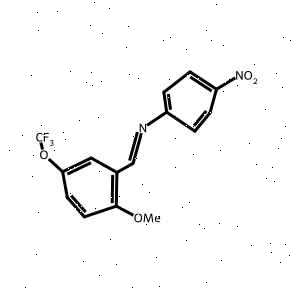 COc1ccc(OC(F)(F)F)cc1C=Nc1ccc([N+](=O)[O-])cc1